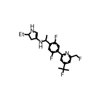 CCC1CC(NC(C)c2cc(F)c(-c3cc(C(C)(C)F)cc(CF)n3)cc2F)=CN1